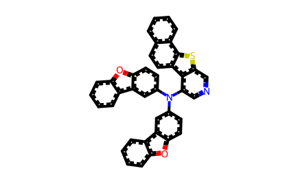 c1ccc2c(c1)ccc1c2sc2cncc(N(c3ccc4oc5ccccc5c4c3)c3ccc4oc5ccccc5c4c3)c21